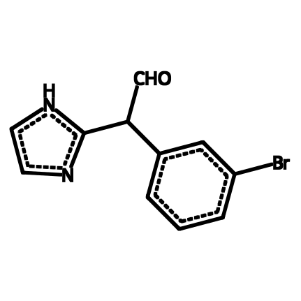 O=CC(c1cccc(Br)c1)c1ncc[nH]1